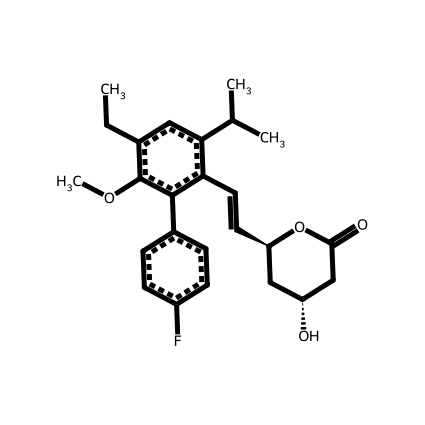 CCc1cc(C(C)C)c(/C=C/[C@@H]2C[C@@H](O)CC(=O)O2)c(-c2ccc(F)cc2)c1OC